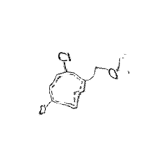 [C]OCc1ccc(Cl)cc1Cl